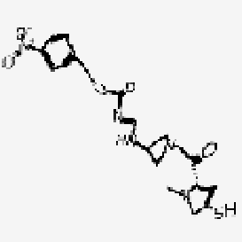 CN1C[C@@H](S)C[C@H]1C(=O)N1CC(NC=NC(=O)OCc2ccc([N+](=O)[O-])cc2)C1